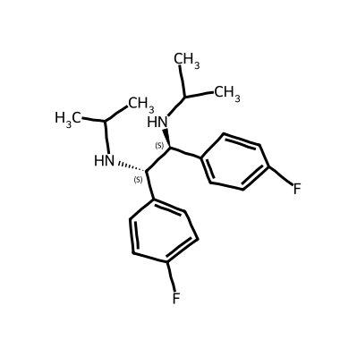 CC(C)N[C@@H](c1ccc(F)cc1)[C@@H](NC(C)C)c1ccc(F)cc1